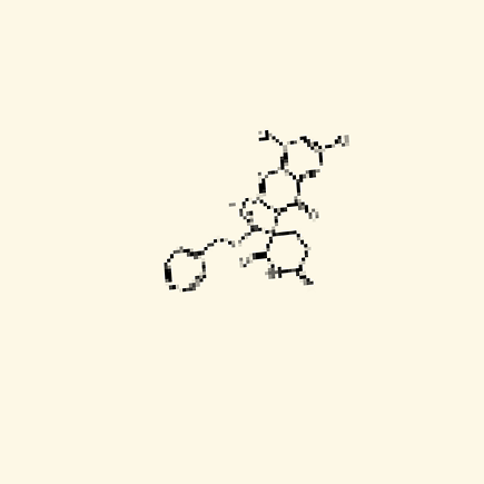 Cc1nc2c(Cl)cc(Cl)cc2c(=O)n1C1(C(=O)OCc2ccccc2)CCC(=O)NC1=O